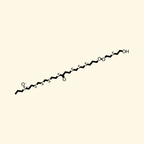 CCC[S+]([O-])CCSCSCSCCSC(=O)CCSCSCSCCCOOCCSCCO